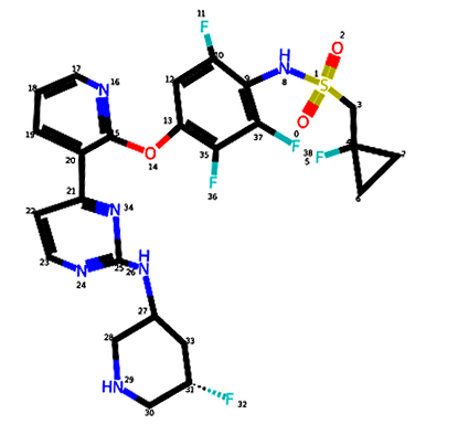 O=S(=O)(CC1(F)CC1)Nc1c(F)cc(Oc2ncccc2-c2ccnc(NC3CNC[C@@H](F)C3)n2)c(F)c1F